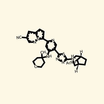 CC(=O)N[C@@H]1[C@@H]2CC[C@H]1CN(c1nnc(-c3cnc(-c4ccc5cc(C#N)cnn45)cc3NC3(C)CCOCC3)s1)C2